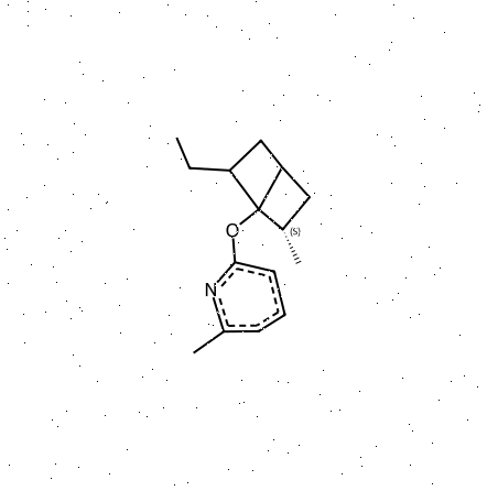 CCC1CC2C[C@H](C)C12Oc1cccc(C)n1